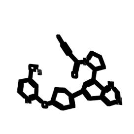 CC#CC(=O)N1CCCC1c1cc(-c2ccc(Oc3cc(C(F)(F)F)ccn3)cc2)cc2cncnc12